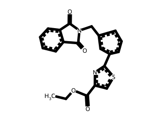 CCOC(=O)c1csc(-c2cccc(CN3C(=O)c4ccccc4C3=O)c2)n1